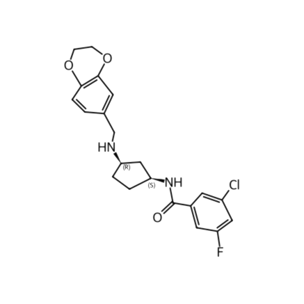 O=C(N[C@H]1CC[C@@H](NCc2ccc3c(c2)OCCO3)C1)c1cc(F)cc(Cl)c1